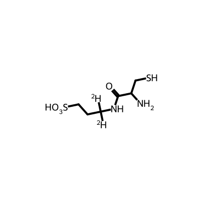 [2H]C([2H])(CCS(=O)(=O)O)NC(=O)C(N)CS